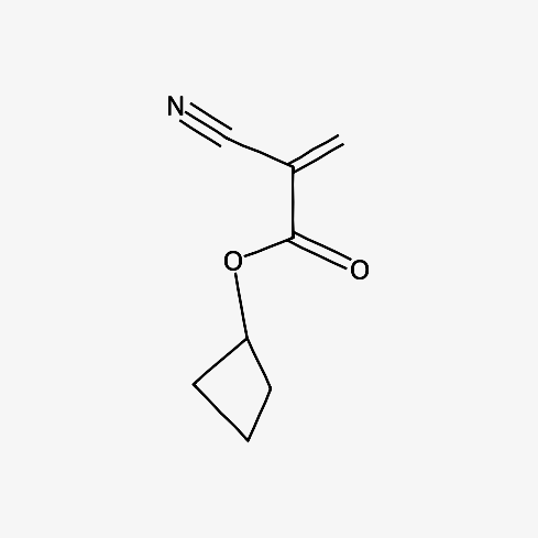 C=C(C#N)C(=O)OC1CCC1